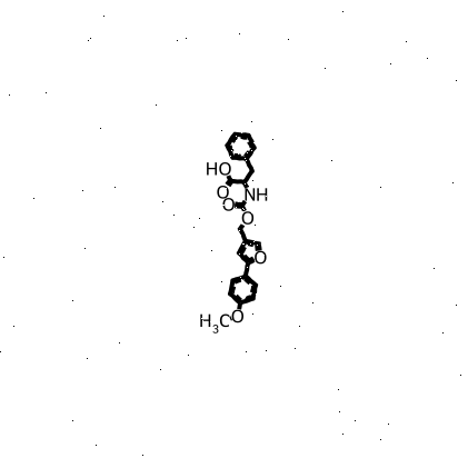 COc1ccc(-c2cc(COC(=O)NC(Cc3ccccc3)C(=O)O)co2)cc1